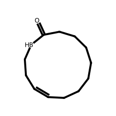 O=C1BCCC=CCCCCCCC1